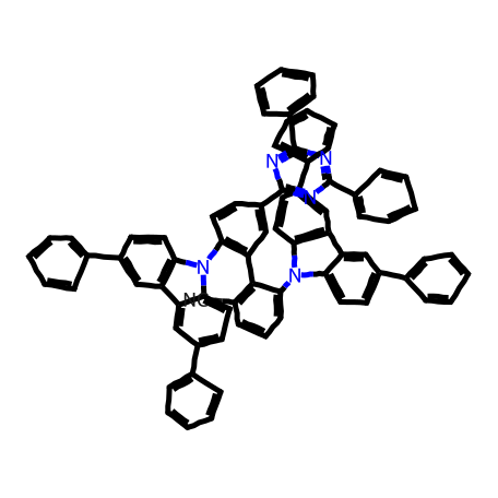 N#Cc1cccc(-n2c3ccc(-c4ccccc4)cc3c3cc(-c4ccccc4)ccc32)c1-c1cc(-c2nc(-c3ccccc3)nc(-c3ccccc3)n2)ccc1-n1c2ccc(-c3ccccc3)cc2c2cc(-c3ccccc3)ccc21